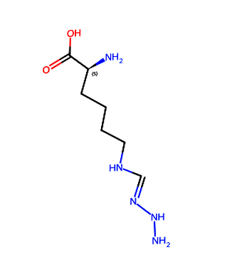 NNN=CNCCCC[C@H](N)C(=O)O